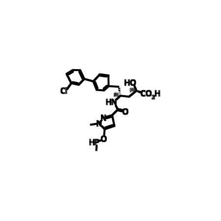 CPOc1cc(C(=O)N[C@H](Cc2ccc(-c3cccc(Cl)c3)cc2)C[C@@H](O)C(=O)O)nn1C